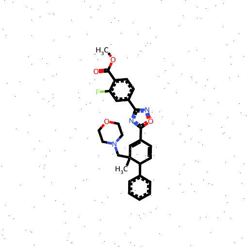 COC(=O)c1ccc(-c2noc(C3=CC(C)(CN4CCOCC4)C(c4ccccc4)C=C3)n2)cc1F